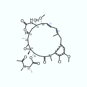 COc1cc2cc(c1Cl)N(C)C(=O)C[C@H](OC(=O)[C@H](C)N(C)C(C)=O)[C@]1(C)OC1[C@H](C)[C@@H]1C[C@@](O)(NC(=O)O1)[C@H](OC)/C=C/C=C(\C)C2